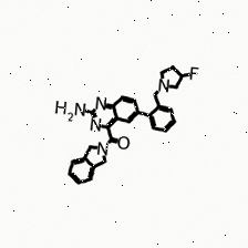 Nc1nc(C(=O)N2Cc3ccccc3C2)c2cc(-c3ccccc3CN3CCC(F)C3)ccc2n1